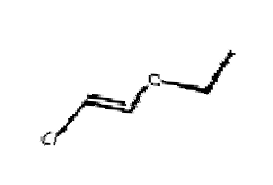 C[CH]O/C=C/Cl